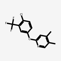 Cc1cnc(Oc2ccc(Cl)c(C(F)(F)F)c2)cc1C